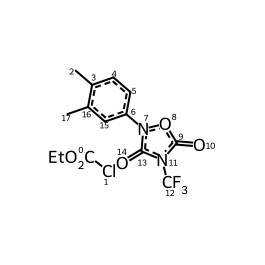 CCOC(=O)Cl.Cc1ccc(-n2oc(=O)n(C(F)(F)F)c2=O)cc1C